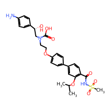 CC(C)Oc1cc(-c2ccc(OCCN(C[C@@H](O)c3ccc(N)cc3)C(=O)O)cc2)ccc1C(=O)NS(C)(=O)=O